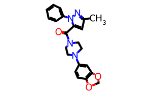 Cc1cc(C(=O)N2CCN(c3ccc4c(c3)OCO4)CC2)n(-c2ccccc2)n1